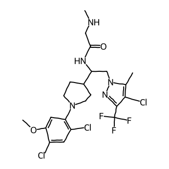 CNCC(=O)NC(Cn1nc(C(F)(F)F)c(Cl)c1C)C1CCN(c2cc(OC)c(Cl)cc2Cl)CC1